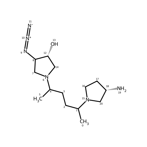 CC(CCC(C)N1CC(N=[N+]=[N-])[C@H](O)C1)N1CC[C@H](N)C1